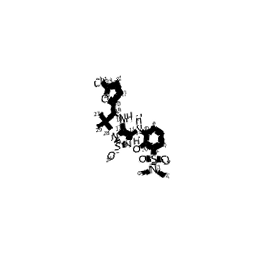 CN(C)S(=O)(=O)c1cccc(Nc2n[s+]([O-])nc2N[C@@H](c2ccc(Cl)o2)C(C)(C)C)c1O